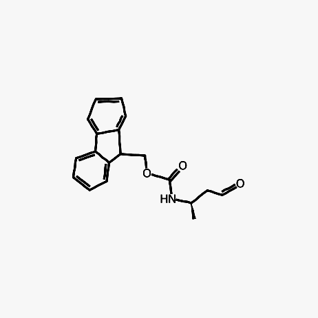 C[C@H](CC=O)NC(=O)OCC1c2ccccc2-c2ccccc21